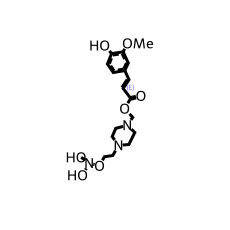 COc1cc(/C=C/C(=O)OCN2CCN(CCON(O)O)CC2)ccc1O